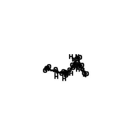 CC(C)C(=O)OCc1ccc(NC(=O)C(CCCNC(N)=O)NC(=O)[C@@H](NC(=O)OCCOCCNS(=O)(=O)NC(=O)OCCCNC(=O)CCCCCN2C(=O)C=CC2=O)C(C)C)cc1